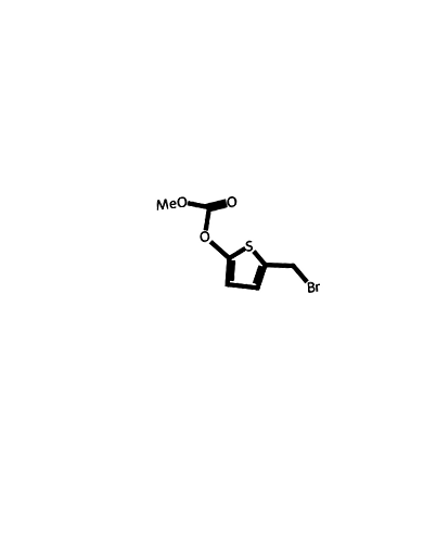 COC(=O)Oc1ccc(CBr)s1